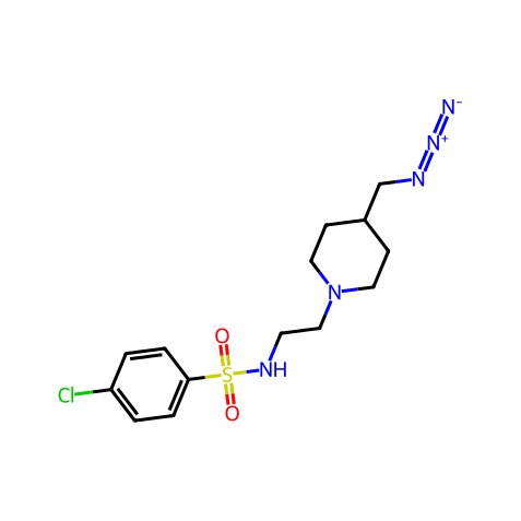 [N-]=[N+]=NCC1CCN(CCNS(=O)(=O)c2ccc(Cl)cc2)CC1